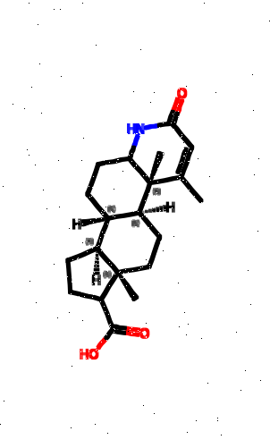 CC1=CC(=O)NC2CC[C@@H]3[C@H](CC[C@]4(C)C(C(=O)O)CC[C@@H]34)[C@@]12C